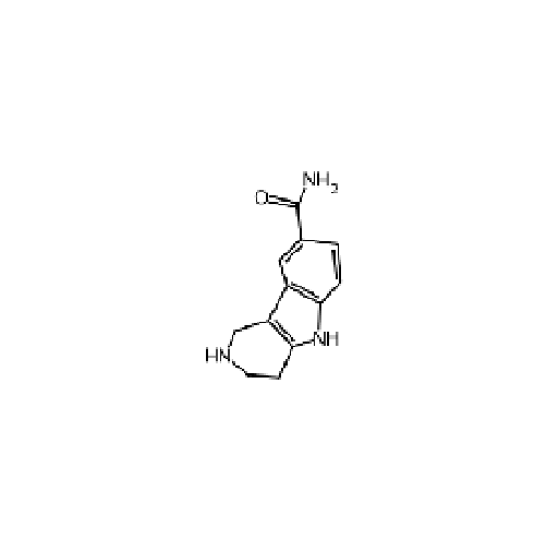 NC(=O)c1ccc2[nH]c3c(c2c1)CNCC3